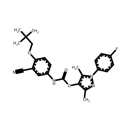 Cc1nn(-c2ccc(F)cc2)c(C)c1OC(=O)Nc1ccc(OCC(C)(C)C)c(C#N)c1